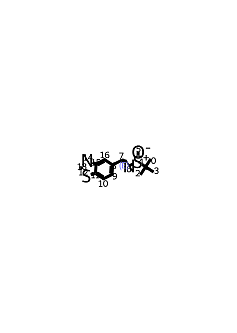 CC(C)(C)[S+]([O-])/N=C/c1ccc2scnc2c1